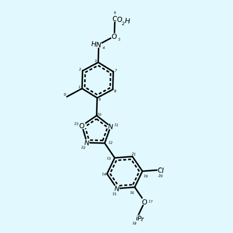 Cc1cc(NOC(=O)O)ccc1-c1nc(-c2cnc(OC(C)C)c(Cl)c2)no1